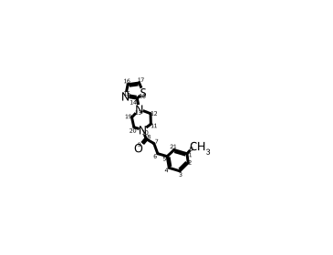 Cc1cccc(CCC(=O)N2CCN(c3nccs3)CC2)c1